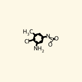 Cc1cc(N=S(=O)=O)cc(N)c1Cl